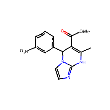 COC(=O)C1=C(C)Nc2nccn2C1c1cccc([N+](=O)[O-])c1